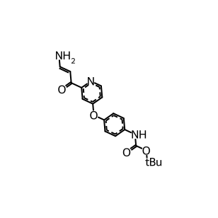 CC(C)(C)OC(=O)Nc1ccc(Oc2ccnc(C(=O)/C=C/N)c2)cc1